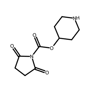 O=C1CCC(=O)N1C(=O)OC1CCNCC1